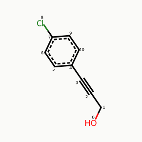 OCC#Cc1ccc(Cl)cc1